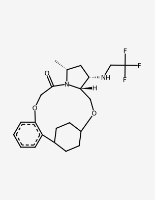 C[C@@H]1C[C@H](NCC(F)(F)F)[C@@H]2COC3CCC(CC3)c3ccccc3OCC(=O)N12